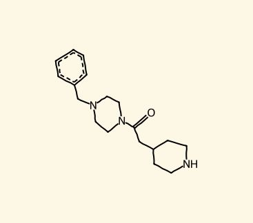 O=C(CC1CCNCC1)N1CCN(Cc2ccccc2)CC1